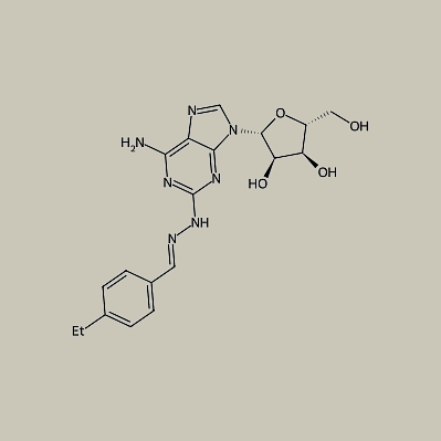 CCc1ccc(/C=N/Nc2nc(N)c3ncn([C@@H]4O[C@H](CO)[C@@H](O)[C@H]4O)c3n2)cc1